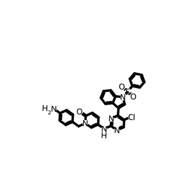 Nc1ccc(Cn2cc(Nc3ncc(Cl)c(-c4cn(S(=O)(=O)c5ccccc5)c5ccccc45)n3)ccc2=O)cc1